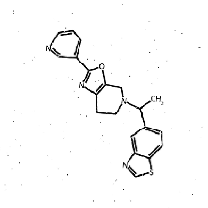 CC(c1ccc2scnc2c1)N1CCc2nc(-c3cccnc3)oc2C1